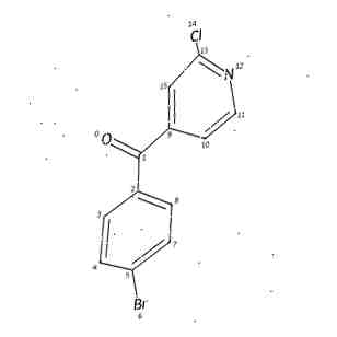 O=C(c1ccc(Br)cc1)c1ccnc(Cl)c1